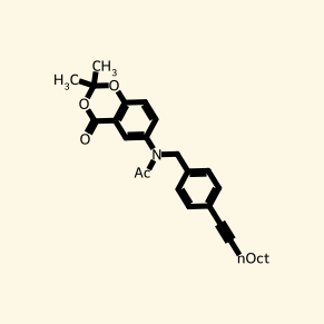 CCCCCCCCC#Cc1ccc(CN(C(C)=O)c2ccc3c(c2)C(=O)OC(C)(C)O3)cc1